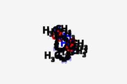 CCCCC/C=C\C/C=C\CCCCCCCC(=O)N(CCN(C)C)C(C(=O)NCCCCCCNC(=O)C(C(C)C)N(CCN(C)C)C(=O)CCCCCCC/C=C\C/C=C\CCCCC)C(C)C